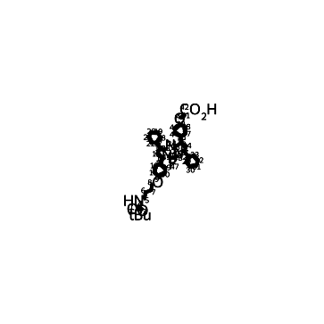 CC(C)(C)OC(=O)NCCCCOc1ccc(-c2cc(-c3ccccc3)c(/N=C3\N=C(c4ccccc4)C=C3c3ccc(OCC(=O)O)cc3)n2B(F)F)cc1